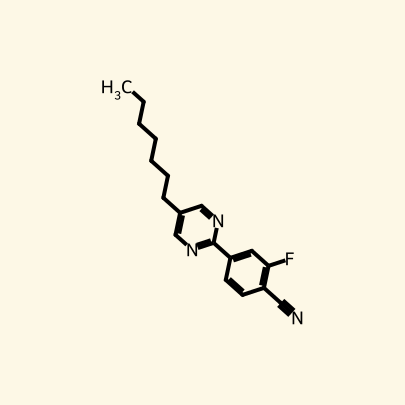 CCCCCCCc1cnc(-c2ccc(C#N)c(F)c2)nc1